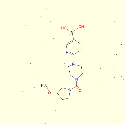 COC1CCN(C(=O)N2CCN(c3ccc(B(O)O)cn3)CC2)C1